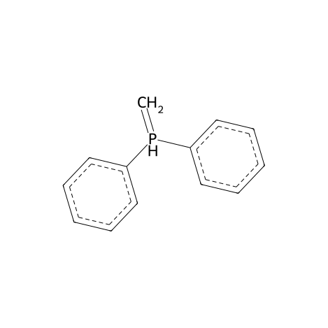 C=[PH](c1ccccc1)c1ccccc1